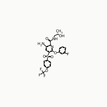 C[C@H](O)CNC(=O)c1nc(Oc2cccc(F)c2)c(S(=O)(=O)c2ccc(OC(F)(F)F)cc2)cc1N